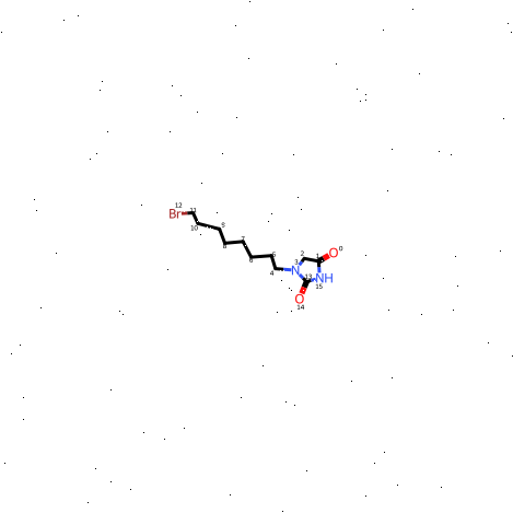 O=C1CN(CCCCCCCCBr)C(=O)N1